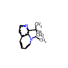 CC(C)c1nccc2c1N(C(C)C)C=CC=C2